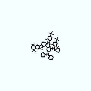 Cc1cc(C(C)(C)C)ccc1N1B2c3cc(C(C)(C)C)cc4c3N(c3cc(N(c5ccccc5)c5ccccc5)cc(c32)-c2c1ccc1c2oc2cc3c(cc21)C(C)(C)CCC3(C)C)C1(C)CCCCC41C